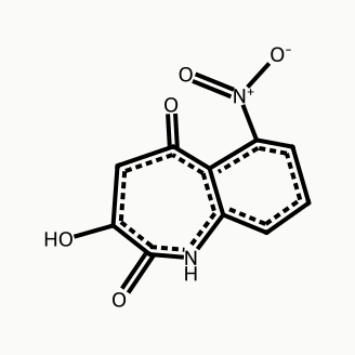 O=c1[nH]c2cccc([N+](=O)[O-])c2c(=O)cc1O